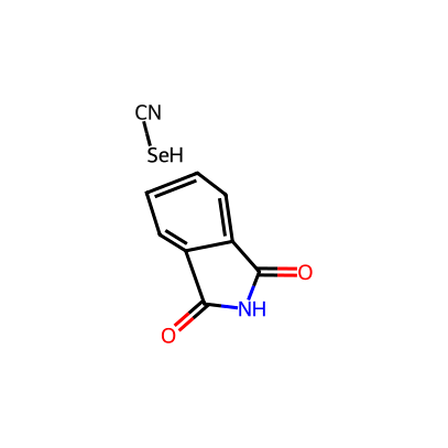 N#C[SeH].O=C1NC(=O)c2ccccc21